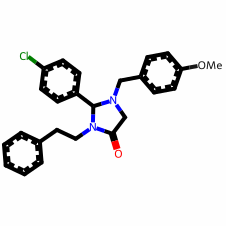 COc1ccc(CN2CC(=O)N(CCc3ccccc3)C2c2ccc(Cl)cc2)cc1